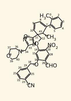 Cc1ccccc1C1=CC=CC(COc2cc(OCc3cccc(C#N)c3)c(C=O)cc2[N+](=O)[O-])(c2nc(CN3CCOCC3)no2)C1C